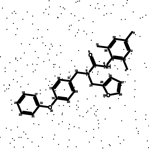 Cc1cc(C)c(NC(=O)N(Cc2ccc(Oc3ccccc3)cc2)Cc2ccco2)c(C)c1